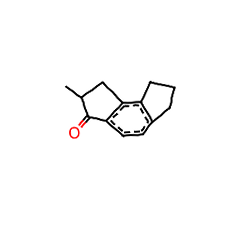 CC1Cc2c(ccc3c2CCC3)C1=O